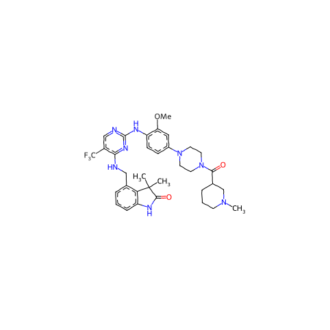 COc1cc(N2CCN(C(=O)C3CCCN(C)C3)CC2)ccc1Nc1ncc(C(F)(F)F)c(NCc2cccc3c2C(C)(C)C(=O)N3)n1